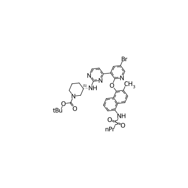 CCCS(=O)(=O)Nc1cccc2c(Oc3ncc(Br)cc3-c3ccnc(N[C@H]4CCCN(C(=O)OC(C)(C)C)C4)n3)c(C)ccc12